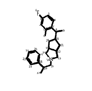 Cc1cc(F)ccc1C(C)C1CC2CN(CC(C)c3ccccc3)CC2C1